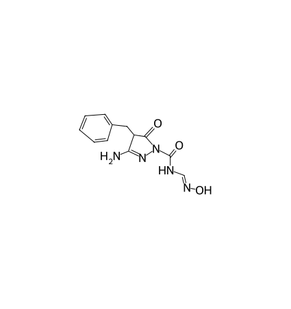 NC1=NN(C(=O)NC=NO)C(=O)C1Cc1ccccc1